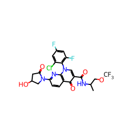 CC(COC(F)(F)F)NC(=O)c1cn(-c2c(F)cc(F)cc2Cl)c2nc(N3CC(O)CC3=O)ccc2c1=O